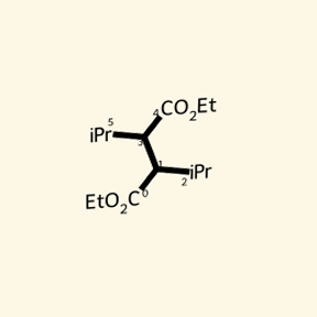 CCOC(=O)C(C(C)C)C(C(=O)OCC)C(C)C